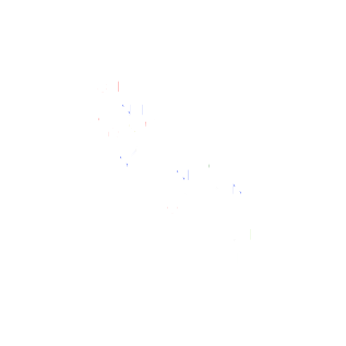 O=C(O)NS(=O)(=O)c1cc(NC(=O)c2cc(C(F)(F)F)cnc2Cl)ccn1